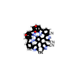 N#Cc1cc(-c2c(-c3cc(C#N)nc(C#N)c3)c(-n3c4ccccc4c4ccccc43)c(-n3c4ccccc4c4ccccc43)c(-n3c4ccccc4c4ccccc43)c2-c2cc(C#N)nc(C#N)c2)cc(C#N)n1